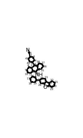 N#Cc1ccc(-c2c3ccccc3c(Nc3ccccc3-c3ccc4c(c3)oc3ccccc34)c3ccccc23)cc1